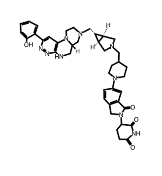 O=C1CCC(N2Cc3ccc(N4CCC(CN5C[C@@H]6[C@H](C5)[C@H]6CN5CCN6c7cc(-c8ccccc8O)nnc7NC[C@H]6C5)CC4)cc3C2=O)C(=O)N1